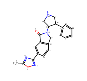 O=C1c2cc(-c3noc(C(F)(F)F)n3)ccc2CN1C1CNCC1c1ccccc1